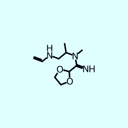 C=CNCC(C)N(C)C(=N)C1OCCO1